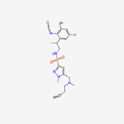 COCCN(C)Cc1cc(S(=O)(=O)NCC(C)c2cc(F)cc(C(C)C)c2N=C=O)nn1C